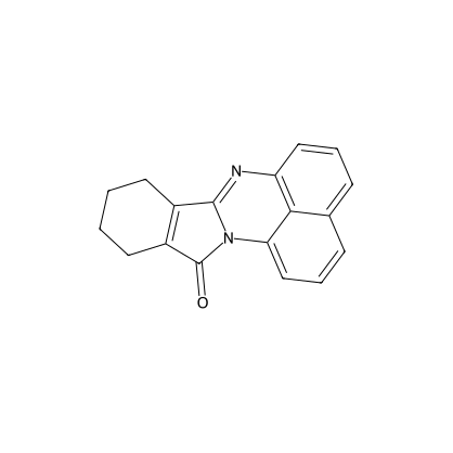 O=C1C2=C(CCCC2)C2=Nc3cccc4cccc(c34)N12